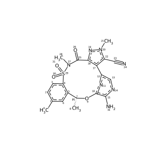 Cc1ccc2c(c1)[C@@H](C)Oc1nc(cnc1N)-c1c(nn(C)c1C#N)C(=O)N(C)S2(=O)=O